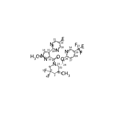 C[C@@H]1CC(F)(F)CN(C(=O)c2nn(C)cc2-c2ncc(F)cn2)[C@@H]1COc1ccc(C(F)(F)F)cn1